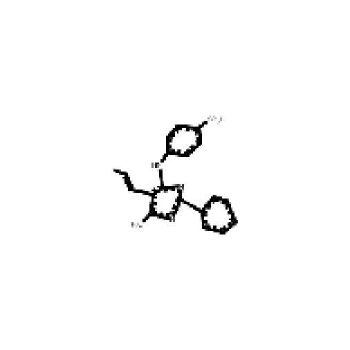 C/C=C/c1c(Nc2ccc(C(=O)O)cc2)nc(-c2ccccc2)nc1C(F)(F)F